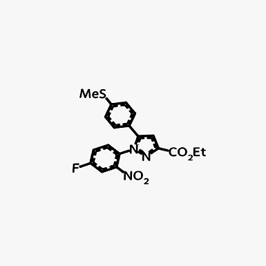 CCOC(=O)c1cc(-c2ccc(SC)cc2)n(-c2ccc(F)cc2[N+](=O)[O-])n1